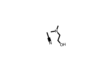 CC#N.CN(C)CCO